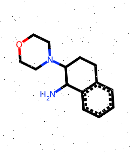 NC1c2ccccc2CCC1N1CCOCC1